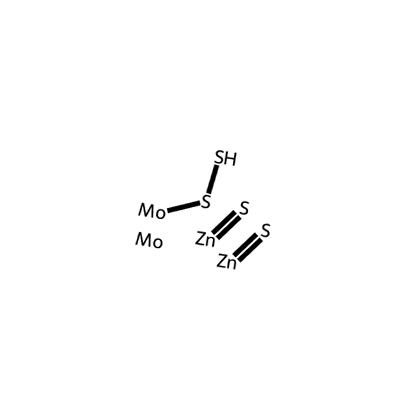 S[S][Mo].[Mo].[S]=[Zn].[S]=[Zn]